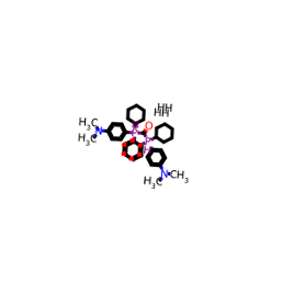 CN(C)c1ccc([PH](C(=O)[PH](c2ccc(N(C)C)cc2)(C2CCCCC2)C2CCCCC2)(C2CCCCC2)C2CCCCC2)cc1.[HH].[HH]